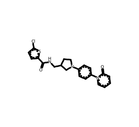 O=C(NCC1CCN(c2ccc(-n3ccccc3=O)cc2)C1)c1ccc(Cl)s1